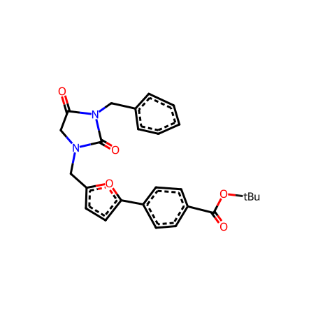 CC(C)(C)OC(=O)c1ccc(-c2ccc(CN3CC(=O)N(Cc4ccccc4)C3=O)o2)cc1